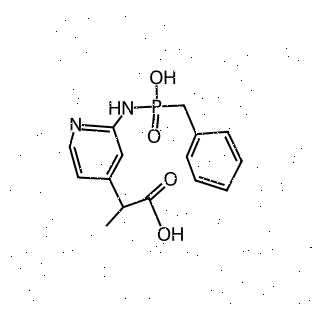 CC(C(=O)O)c1ccnc(NP(=O)(O)Cc2ccccc2)c1